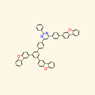 c1ccc(-c2nc(-c3ccc(-c4cc(-c5ccc6oc7ccccc7c6c5)cc(-c5ccc6oc7ccccc7c6c5)c4)cc3)cc(-c3ccc(-c4ccc5c(c4)oc4ccccc45)cc3)n2)cc1